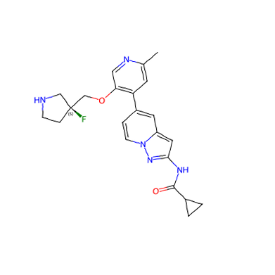 Cc1cc(-c2ccn3nc(NC(=O)C4CC4)cc3c2)c(OC[C@]2(F)CCNC2)cn1